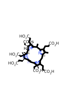 CC1=C(CCC(=O)O)C2=N[C@@]1(C)CC1=C(CCC(=O)O)[C@](C)(CC(=O)O)C(=N1)/C=C1\N[C@@](C)([C@@H]3N=C(C2C)[C@](C)(CCC(=O)O)[C@H]3CC(=O)O)[C@@](C)(CC(=O)O)[C@@H]1CCC(=O)O